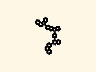 c1ccc2c(c1)ccc1ccc(-c3nc(-c4ccc(-n5c6ccccc6c6cc7cc(-n8c9ccccc9c9c%10ccccc%10ccc98)ccc7cc65)cc4)c4ccccc4n3)cc12